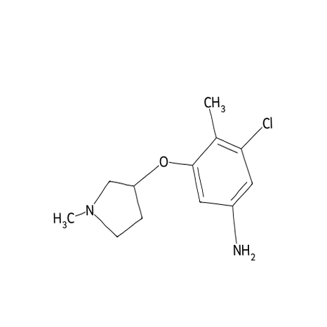 Cc1c(Cl)cc(N)cc1OC1CCN(C)C1